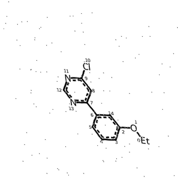 CCOc1cccc(-c2cc(Cl)ncn2)c1